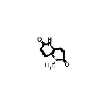 Cn1c(=O)ccc2[nH]c(=O)ccc21